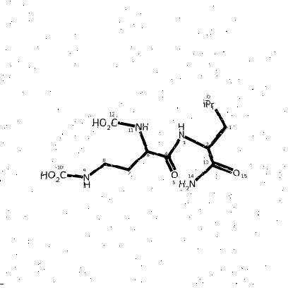 CC(C)CC(NC(=O)C(CCNC(=O)O)NC(=O)O)C(N)=O